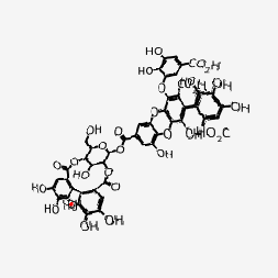 O=C(O)c1cc(O)c(O)c(Oc2c3c(c(O)c(-c4c(C(=O)O)cc(O)c(O)c4O)c2C(=O)O)Oc2c(O)cc(C(=O)OC4OC(CO)C5OC(=O)c6cc(O)c(O)c(O)c6-c6c(cc(O)c(O)c6O)C(=O)OC4C5O)cc2O3)c1